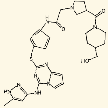 Cc1cc(Nc2nc(Sc3ccc(NC(=O)CN4CCC(C(=O)N5CCC(CO)CC5)C4)cc3)nc3cccn23)n[nH]1